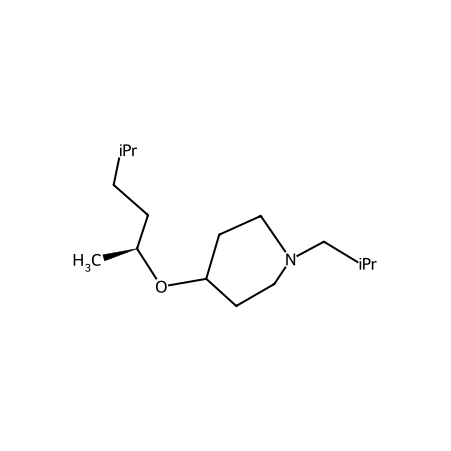 CC(C)CC[C@H](C)OC1CCN(CC(C)C)CC1